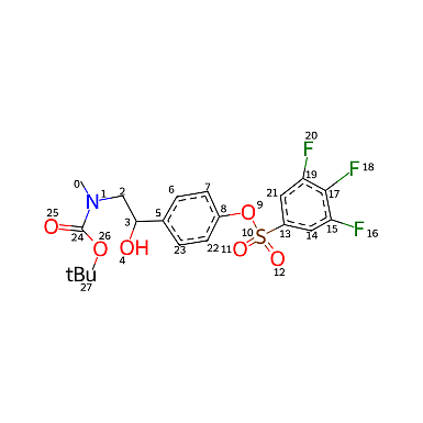 CN(CC(O)c1ccc(OS(=O)(=O)c2cc(F)c(F)c(F)c2)cc1)C(=O)OC(C)(C)C